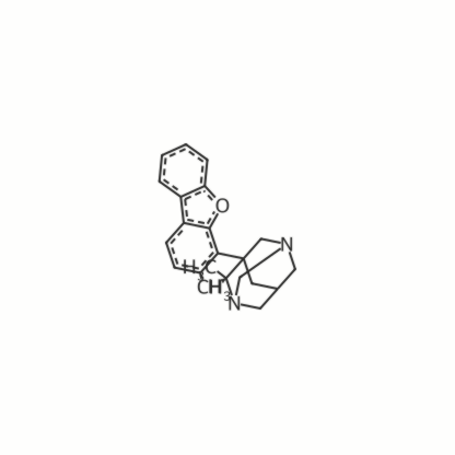 Cc1ccc2c(oc3ccccc32)c1C12CC3CN(CN(C3)[C@@H]1C)C2